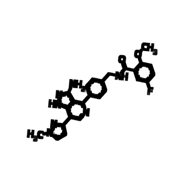 COc1ccc(F)cc1C(=O)NCc1ccc(-c2ncc(-c3ccn(C)n3)c3[nH]nc(N)c23)cc1